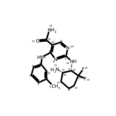 Cc1cccc(Nc2nc(N[C@H]3[C@@H](N)CCCC3(F)F)ncc2C(N)=O)c1